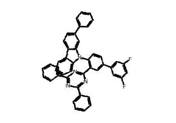 Fc1cc(F)cc(-c2ccc(-n3c4ccccc4c4ccc(-c5ccccc5)cc43)c(-c3nc(-c4ccccc4)nc(-c4ccccc4)n3)c2)c1